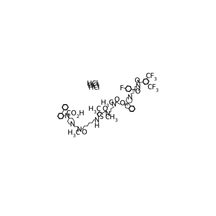 Cc1cc(NCCCCCC(=O)N(C)CCN2CCC(N(C(=O)O)c3ccccc3-c3ccccc3)CC2)sc1C(=O)N(C)CCCN(C)C(=O)CO[C@H]1Cc2ccccc2C12CCN(CC[C@]1(c3ccc(F)cc3)CN(C(=O)c3cc(C(F)(F)F)cc(C(F)(F)F)c3)CO1)CC2.Cl.Cl.Cl